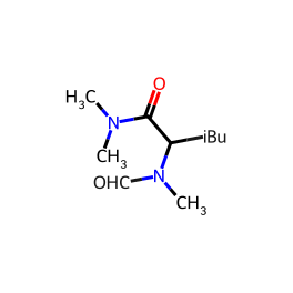 CCC(C)C(C(=O)N(C)C)N(C)C=O